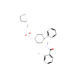 COc1ccccc1C(=O)NC[C@]1(c2ccccc2)CC[C@H](NS(=O)(=O)NC[C@H]2CCCO2)CC1